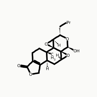 CC(C)C[C@@H]1O[C@@H](O)[C@]23O[C@H]2C[C@H]2C4=C(CC[C@]2(C)[C@@]32O[C@@H]12)C(=O)OC4